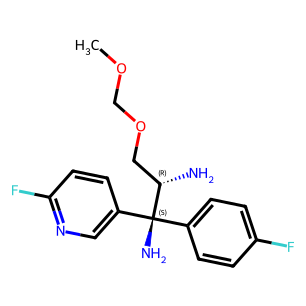 COCOC[C@H](N)[C@](N)(c1ccc(F)cc1)c1ccc(F)nc1